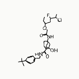 CCC(CC(F)C(C)Cl)OCC(=O)NC12CCC(C(=O)NCc3ccc(C(C)(C)C)cc3)(CC1)C(O)C2